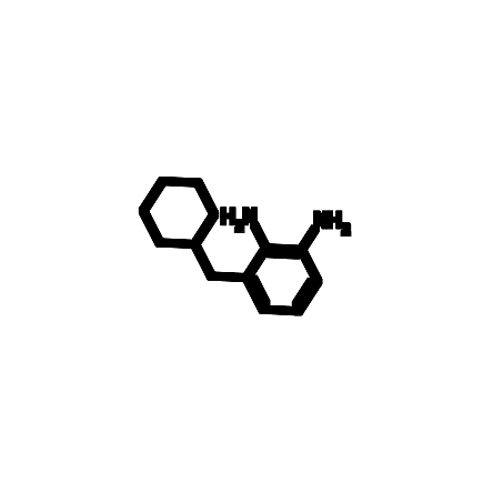 Nc1cccc(CC2CCCCC2)c1N